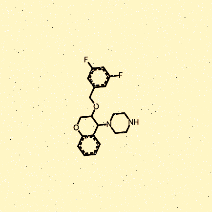 Fc1cc(F)cc(COC2COc3ccccc3C2N2CCNCC2)c1